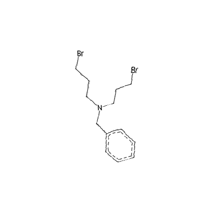 BrCCCN(CCCBr)Cc1ccccc1